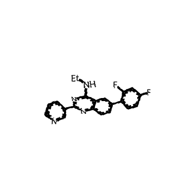 CCNc1nc(-c2cccnc2)nc2ccc(-c3ccc(F)cc3F)cc12